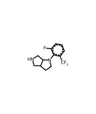 Fc1cccc(C(F)(F)F)c1N1CCC2CNCC21